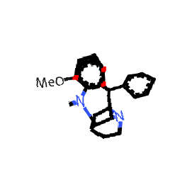 COc1ccccc1N(C)C1C2CCN(CC2)C1C(c1ccccc1)c1ccccc1